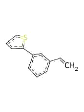 C=Cc1cccc(-c2cccs2)c1